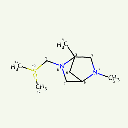 CN1CC2(C)CC1CN2C[SH](C)C